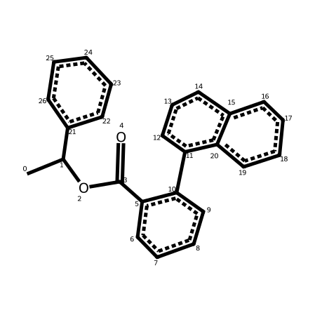 CC(OC(=O)c1ccccc1-c1cccc2ccccc12)c1ccccc1